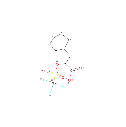 O=C(O)C(CC1CCCCC1)OS(=O)(=O)C(F)(F)F